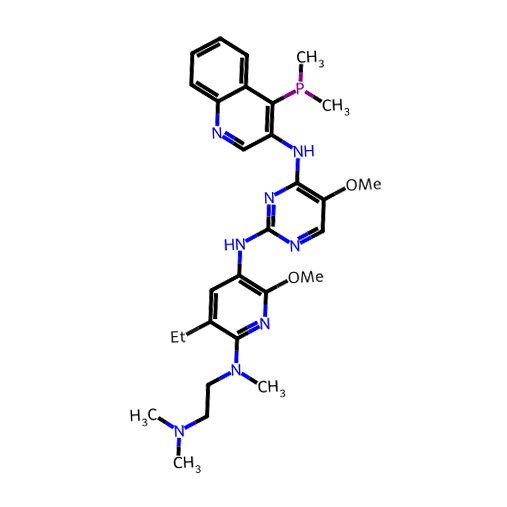 CCc1cc(Nc2ncc(OC)c(Nc3cnc4ccccc4c3P(C)C)n2)c(OC)nc1N(C)CCN(C)C